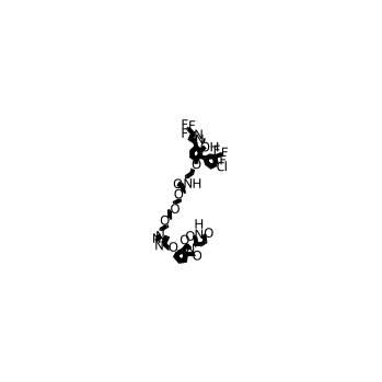 Cn1nc(C(F)(F)F)cc1-c1ccc(OCCCNC(=O)COCCOCCOCCn2cc(COc3cccc4c3C(=O)N(C3CCC(=O)NC3=O)C4=O)nn2)c(-c2ccc(Cl)c(C(F)(F)F)c2)c1O